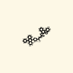 C=C(/C=C\C(=C)c1c2ccccc2c(-c2ccccc2)c2ccccc12)/C(C)=C/C=C1\Cc2c(c3oc4ccccc4c3c3ccccc23)S1